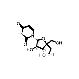 O=c1ccn([C@@H]2OC(CO)(CO)[C@H](O)[C@H]2O)c(=O)[nH]1